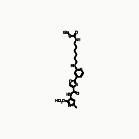 Cn1cc(NC(=O)c2coc(-c3ccnc(NCCCCCCNC(=O)OC(C)(C)C)c3)n2)c(C(=O)O)n1